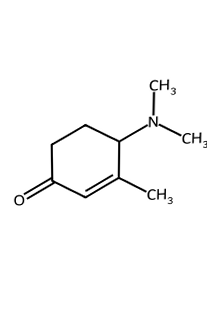 CC1=CC(=O)CCC1N(C)C